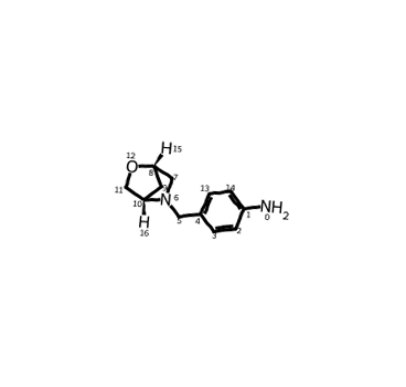 Nc1ccc(CN2C[C@@H]3C[C@H]2CO3)cc1